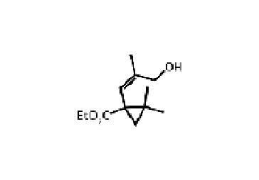 CCOC(=O)C1(C=C(C)CO)CC1(C)C